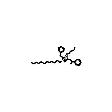 CCCCCCCCCCCCn1cc(CC(C)c2ccccc2)[n+](CCCCC)c1Cc1ccccc1